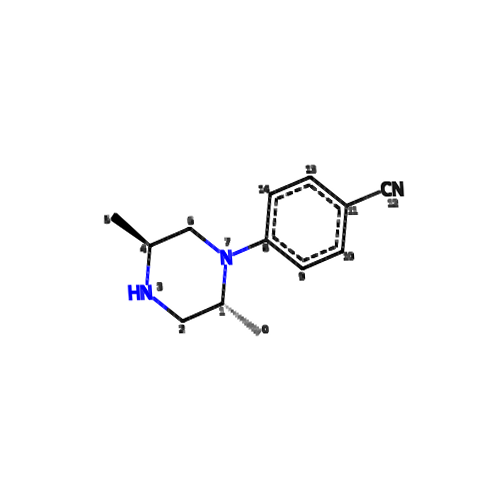 C[C@@H]1CN[C@@H](C)CN1c1ccc(C#N)cc1